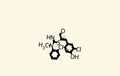 Cc1ccccc1N(C)C(=N)S/C(C=O)=C\c1ccc(O)c(Cl)c1